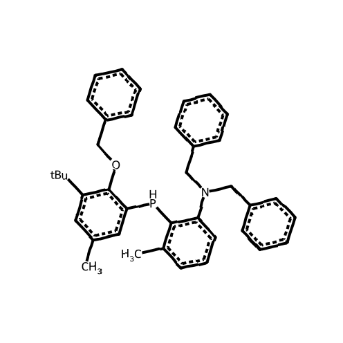 Cc1cc(Pc2c(C)cccc2N(Cc2ccccc2)Cc2ccccc2)c(OCc2ccccc2)c(C(C)(C)C)c1